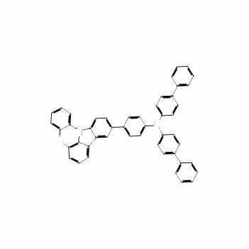 c1ccc(-c2ccc(N(c3ccc(-c4ccccc4)cc3)c3ccc(-c4ccc5c(c4)c4cccc6c4n5-c4ccccc4O6)cc3)cc2)cc1